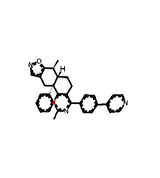 Cc1nc(-c2ccc(-c3ccncc3)cc2)c2c(n1)[C@@]1(c3ccccc3)Cc3cnoc3[C@@H](C)[C@@H]1CC2